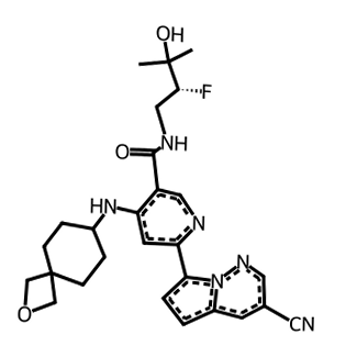 CC(C)(O)[C@H](F)CNC(=O)c1cnc(-c2ccc3cc(C#N)cnn23)cc1NC1CCC2(CC1)COC2